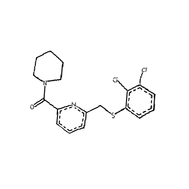 O=C(c1cccc(CSc2cccc(Cl)c2Cl)n1)N1CCCCC1